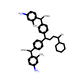 CCCCCCC(c1ccc(C(CCC(CC)C2CCCCC2)c2ccc(C(CCCCCC)c3ccc(N)cc3C)cc2)cc1)c1ccc(N)cc1C